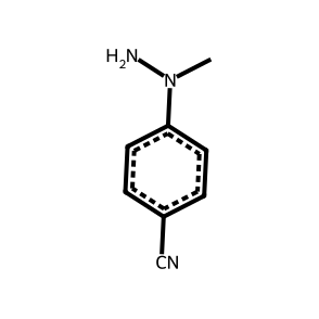 CN(N)c1ccc(C#N)cc1